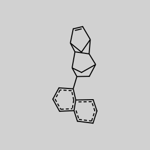 C1=CC2CC1C1C3CC(c4cccc5ccccc45)C(C3)C21